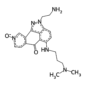 CN(C)CCCNc1ccc2c3c(nn2CCN)-c2c[n+]([O-])ccc2C(=O)c13